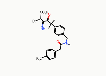 CC[C@H](C(=N)C(=O)C(C)(C)c1ccc(CN(C)C(=O)Cc2ccc(C(F)(F)F)cc2)cc1)C(=O)O